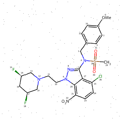 COc1ccc(CN(c2nn(CCN3C[C@H](F)C[C@H](F)C3)c3c([N+](=O)[O-])ccc(Cl)c23)S(C)(=O)=O)cc1